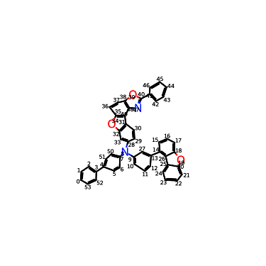 c1ccc(-c2ccc(N(c3cccc(-c4cccc5oc6ccccc6c45)c3)c3ccc4c(c3)oc3ccc5oc(-c6ccccc6)nc5c34)cc2)cc1